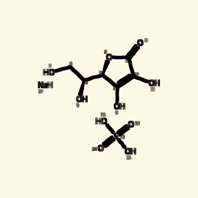 O=C1O[C@H]([C@@H](O)CO)C(O)=C1O.O=S(=O)(O)O.[NaH]